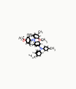 COc1cc(C)c(N(c2ccc(N(c3ccc(C)cc3)c3ccc(C)cc3)cc2)c2c(C)cc(C)cc2OC)c(C)c1